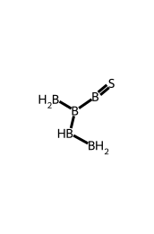 BBB(B)B=S